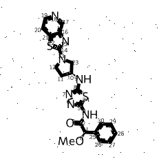 CO[C@@H](C(=O)Nc1nnc(N[C@@H]2CCN(c3nc4cnccc4s3)C2)s1)c1ccccc1